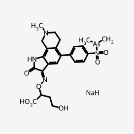 CN1CCc2c(-c3ccc(S(=O)(=O)[As](C)C)cc3)cc3c(c2C1)NC(=O)C3=NOC(CCO)C(=O)O.[NaH]